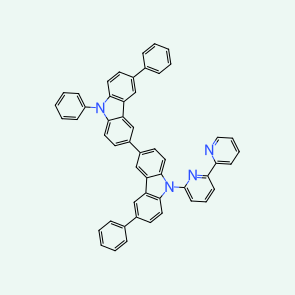 c1ccc(-c2ccc3c(c2)c2cc(-c4ccc5c(c4)c4cc(-c6ccccc6)ccc4n5-c4cccc(-c5ccccn5)n4)ccc2n3-c2ccccc2)cc1